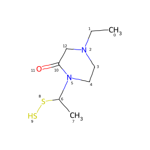 CCN1CCN(C(C)SS)C(=O)C1